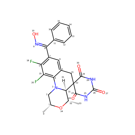 C[C@@H]1CN2c3c(cc(/C(=N/O)c4ccccc4)c(F)c3F)CC3(C(=O)NC(=O)NC3=O)[C@H]2[C@H](C)O1